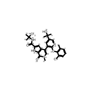 Cc1cccc(Cl)c1Oc1ncc(C(C)(C)O)cc1-c1cn(C)c(=O)c2[nH]c(C(=O)NC(C)(C)C(F)(F)F)cc12